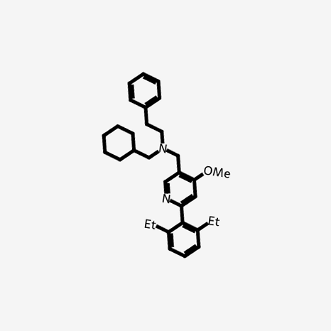 CCc1cccc(CC)c1-c1cc(OC)c(CN(CCc2ccccc2)CC2CCCCC2)cn1